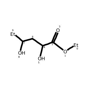 CCOC(=O)C(O)CC(O)CC